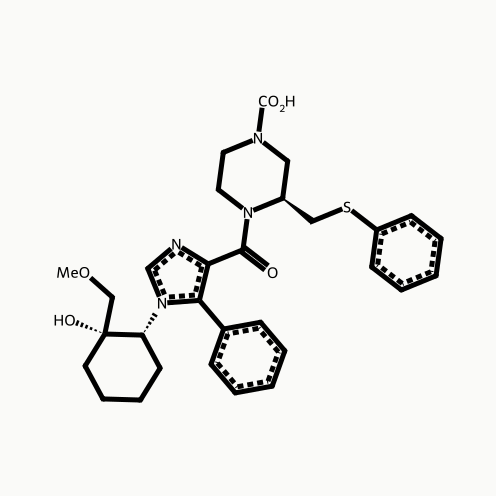 COC[C@]1(O)CCCC[C@H]1n1cnc(C(=O)N2CCN(C(=O)O)C[C@H]2CSc2ccccc2)c1-c1ccccc1